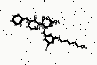 CCCCCCOc1cc(F)cc(C[C@H](NC(C)=O)[C@H](O)[C@@H]2NCCN(Cc3ccccc3)C2=O)c1